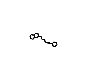 C(#Cc1ccccc1)C=CCCc1ccc2ccccc2c1